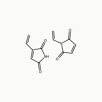 C=CC1=CC(=O)NC1=O.C=CN1C(=O)C=CC1=O